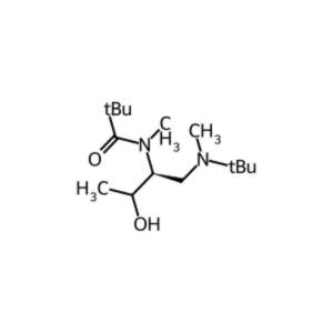 CC(O)[C@H](CN(C)C(C)(C)C)N(C)C(=O)C(C)(C)C